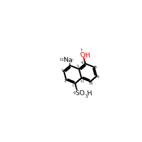 O=S(=O)(O)c1cccc2c(O)cccc12.[Na]